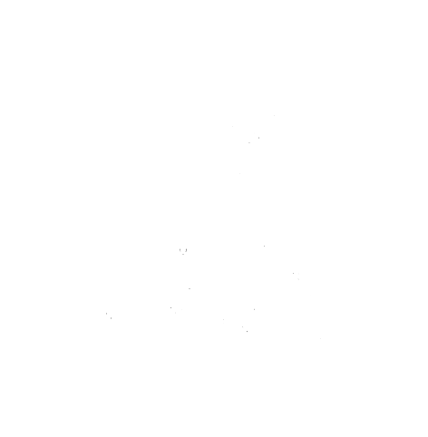 COc1cc2c(NC3CCN(c4cccnc4)CC3)c3c(nc2cc1OCCCN1CCCC1)CCC3